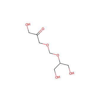 O=C(CO)COCOC(CO)CO